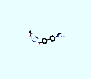 Cn1ccc(-c2ccc(-c3ccc(C(=O)N4CCN(C(=O)C5(O)CC5)CC4)cc3)cc2)n1